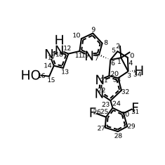 CC1(C)[C@H]2CC[C@]1(c1cccc(-c3cc(CO)n[nH]3)n1)c1nnc(-c3c(F)cccc3F)cc12